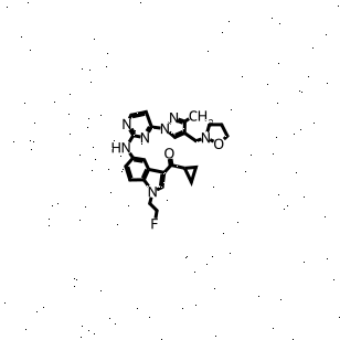 Cc1nn(-c2ccnc(Nc3ccc4c(c3)c(C(=O)C3CC3)cn4CCF)n2)cc1CN1CCCO1